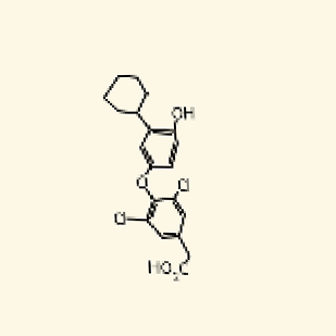 O=C(O)Cc1cc(Cl)c(Oc2ccc(O)c(C3CCCCC3)c2)c(Cl)c1